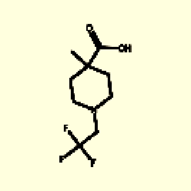 CC1(C(=O)O)CCN(CC(F)(F)F)CC1